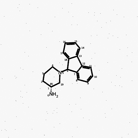 N[C@@H]1CCCN(C2c3ccccc3-c3ccccc32)C1